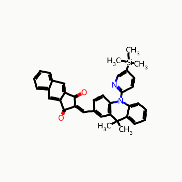 CC1(C)c2ccccc2N(c2ccc([Si](C)(C)C)cn2)c2ccc(C=C3C(=O)c4cc5ccccc5cc4C3=O)cc21